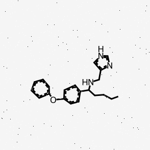 CCCCC(NCc1c[nH]cn1)c1ccc(Oc2ccccc2)cc1